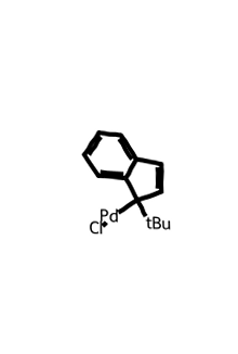 CC(C)(C)[C]1([Pd][Cl])C=Cc2ccccc21